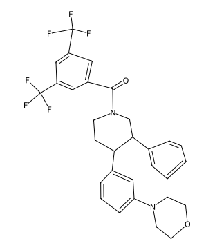 O=C(c1cc(C(F)(F)F)cc(C(F)(F)F)c1)N1CCC(c2cccc(N3CCOCC3)c2)C(c2ccccc2)C1